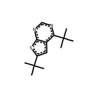 CC(C)(C)c1cc2c(C(C)(C)C)ncnc2s1